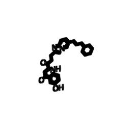 O=C(CCc1cn2cc(CCCC3CCCCC3)ccc2n1)c1cc(=O)c2cc(O)ccc2[nH]1